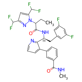 CCC(C(=O)N[C@@H](Cc1cc(F)cc(F)c1)c1ncccc1-c1cccc(C(=O)NC)c1)n1nc(C(F)F)cc1C(F)F